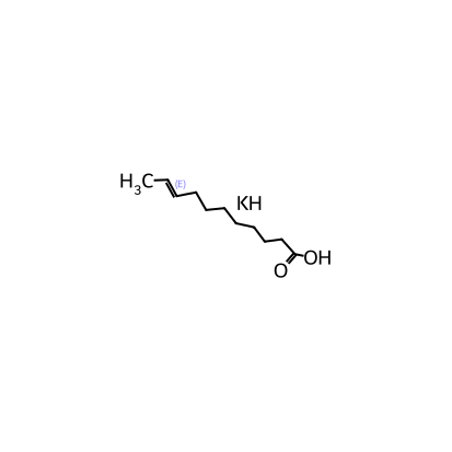 C/C=C/CCCCCCCC(=O)O.[KH]